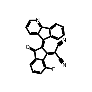 N#CC(C#N)=C1/C(=C2\c3ccccc3-c3ncccc32)C(=O)c2cccc(F)c21